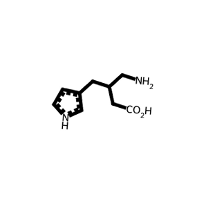 NCC(CC(=O)O)Cc1cc[nH]c1